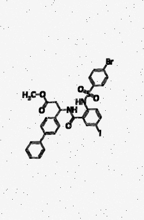 COC(=O)CC(NC(=O)c1cc(I)ccc1NS(=O)(=O)c1ccc(Br)cc1)c1ccc(-c2ccccc2)cc1